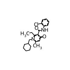 CCc1c(C(=O)Nc2ccccc2Cl)c(=O)cc(C)n1CC1CCCCC1